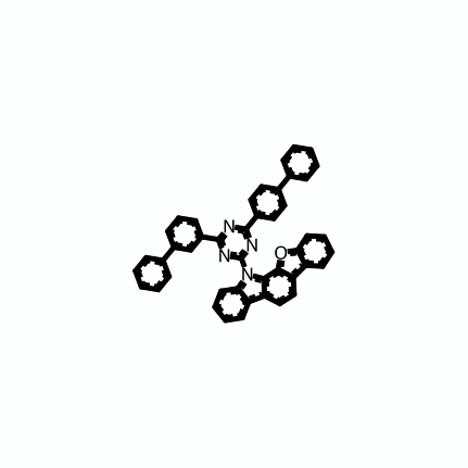 c1ccc(-c2ccc(-c3nc(-c4cccc(-c5ccccc5)c4)nc(-n4c5ccccc5c5ccc6c7ccccc7oc6c54)n3)cc2)cc1